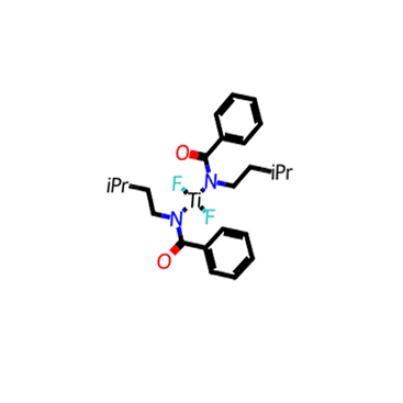 CC(C)CC[N](C(=O)c1ccccc1)[Ti]([F])([F])[N](CCC(C)C)C(=O)c1ccccc1